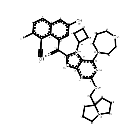 C#Cc1c(F)ccc2cc(O)cc(C(=O)c3nc4nc(OCC56CCCN5CCC6)nc(N5CCCOCC5)c4n3C3CCC3)c12